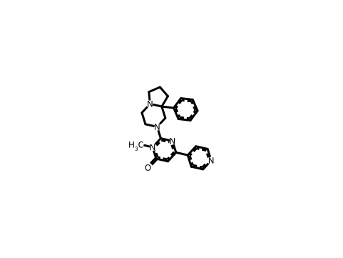 Cn1c(N2CCN3CCCC3(c3ccccc3)C2)nc(-c2ccncc2)cc1=O